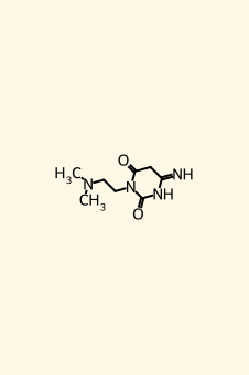 CN(C)CCN1C(=O)CC(=N)NC1=O